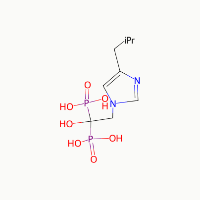 CC(C)Cc1cn(CC(O)(P(=O)(O)O)P(=O)(O)O)cn1